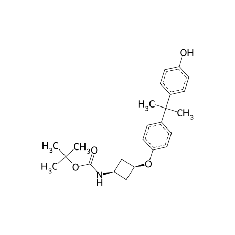 CC(C)(C)OC(=O)N[C@H]1C[C@@H](Oc2ccc(C(C)(C)c3ccc(O)cc3)cc2)C1